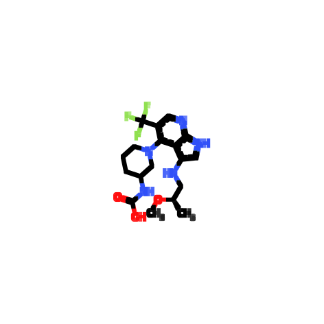 CO[C@H](C)CNc1c[nH]c2ncc(C(F)(F)F)c(N3CCCC(NC(=O)O)C3)c12